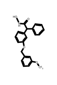 O=C(NO)C(c1ccccc1)c1cccc(OCc2cccc(OC(F)(F)F)c2)c1